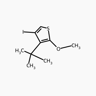 COc1scc(I)c1C(C)(C)C